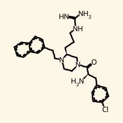 N=C(N)NCCC[C@H]1CN(C(=O)[C@H](N)Cc2ccc(Cl)cc2)CCN1CCc1ccc2ccccc2c1